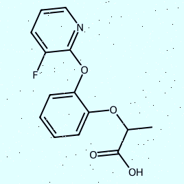 CC(Oc1ccccc1Oc1ncccc1F)C(=O)O